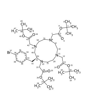 CC(C)(C)OC(=O)CN1CCN(CC(=O)OC(C)(C)C)CCN(CC(=O)OC(C)(C)C)[C@@H](Cc2ccc(Br)cc2)CN(CC(=O)OC(C)(C)C)CC1